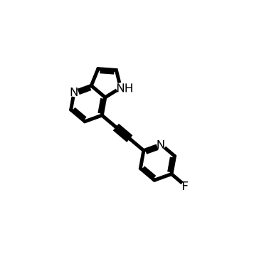 Fc1ccc(C#Cc2ccnc3cc[nH]c23)nc1